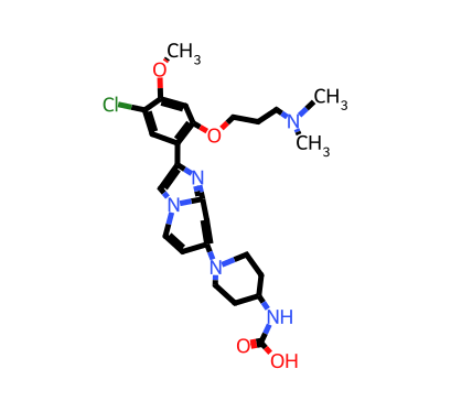 COc1cc(OCCCN(C)C)c(-c2cn3ccc(N4CCC(NC(=O)O)CC4)cc3n2)cc1Cl